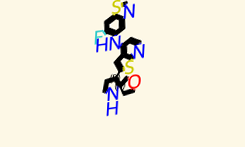 Fc1cc2scnc2cc1Nc1ccnc2sc([C@@H]3CCN[C@]34CCOC4)cc12